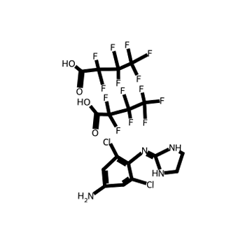 Nc1cc(Cl)c(N=C2NCCN2)c(Cl)c1.O=C(O)C(F)(F)C(F)(F)C(F)(F)F.O=C(O)C(F)(F)C(F)(F)C(F)(F)F